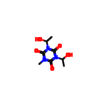 CC(O)n1c(=O)n(C)c(=O)n(C(C)O)c1=O